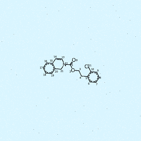 O=C(OCCc1ccccc1Cl)N1C=Cc2ccccc2C1